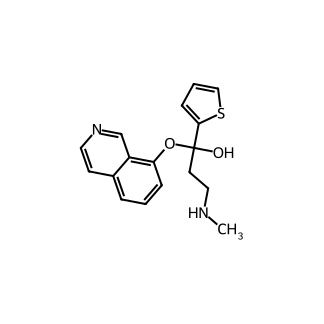 CNCCC(O)(Oc1cccc2ccncc12)c1cccs1